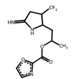 CC(CC1NC(=N)CC1C(F)(F)F)OC(=O)c1ncco1